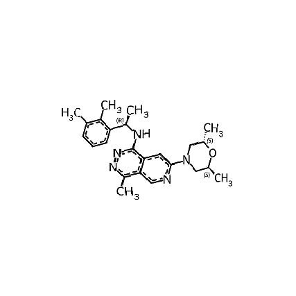 Cc1cccc([C@@H](C)Nc2nnc(C)c3cnc(N4C[C@H](C)O[C@@H](C)C4)cc23)c1C